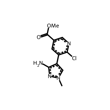 COC(=O)c1cnc(Cl)c(-c2cn(C)nc2N)c1